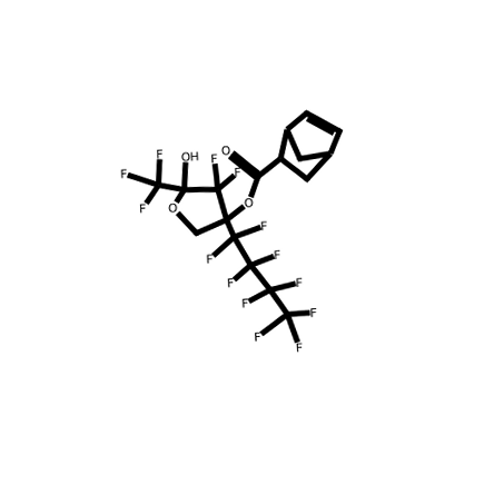 O=C(OC1(C(F)(F)C(F)(F)C(F)(F)C(F)(F)F)COC(O)(C(F)(F)F)C1(F)F)C1CC2C=CC1C2